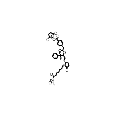 CCOC(=O)CCCCCCN1C(=O)CC[C@@H]1/C=C/[C@@H](OC(=O)Cc1ccc(C(=O)ON2C(=O)CCC2=O)cc1)C(F)(F)c1ccccc1